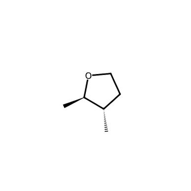 C[C@H]1CCO[C@@H]1C